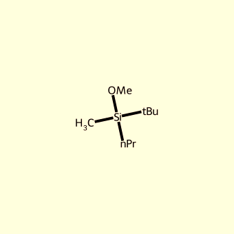 CCC[Si](C)(OC)C(C)(C)C